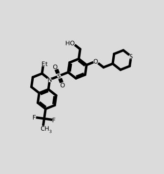 CCC1CCc2cc(C(C)(F)F)ccc2N1S(=O)(=O)c1ccc(OCC2CCSCC2)c(CO)c1